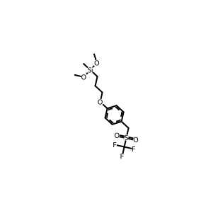 CO[Si](C)(CCCOc1ccc(CS(=O)(=O)C(F)(F)F)cc1)OC